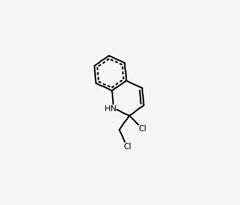 ClCC1(Cl)C=Cc2ccccc2N1